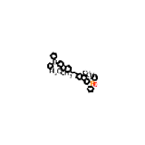 CC1(C)c2cc(/C=C/c3ccc4c(c3)C(C)(C)c3cc(P(=O)(c5ccccc5)c5ccccc5)ccc3-4)ccc2-c2ccc(B(c3ccccc3)c3ccccc3)cc21